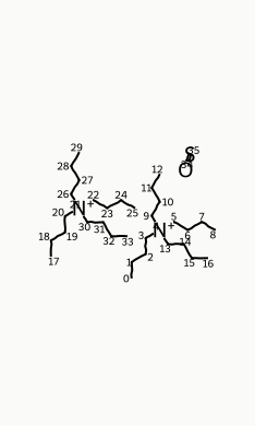 CCCC[N+](CCCC)(CCCC)CCCC.CCCC[N+](CCCC)(CCCC)CCCC.O=S